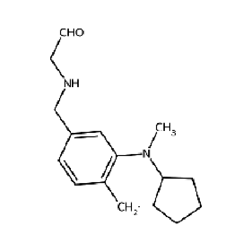 [CH2]c1ccc(CNCC=O)cc1N(C)C1CCCC1